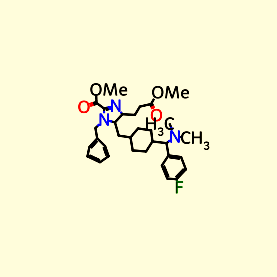 COC(=O)CCC1N=C(C(=O)OC)N(Cc2ccccc2)C1CC1CCC(C(c2ccc(F)cc2)N(C)C)CC1